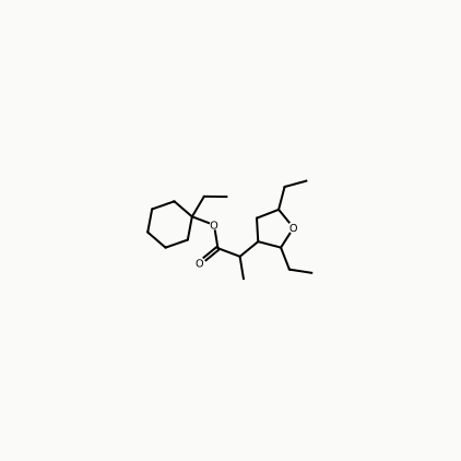 CCC1CC(C(C)C(=O)OC2(CC)CCCCC2)C(CC)O1